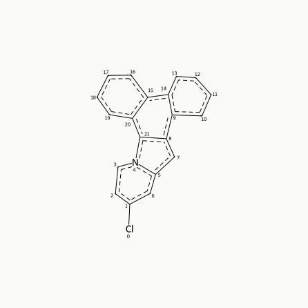 Clc1ccn2c(c1)cc1c3ccccc3c3ccccc3c12